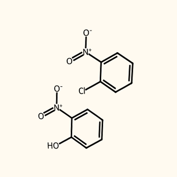 O=[N+]([O-])c1ccccc1Cl.O=[N+]([O-])c1ccccc1O